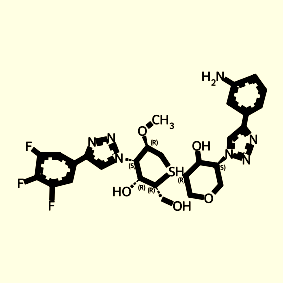 CO[C@H]1C[SH]([C@@H]2COC[C@H](n3cc(-c4cccc(N)c4)nn3)C2O)[C@H](CO)[C@H](O)[C@@H]1n1cc(-c2cc(F)c(F)c(F)c2)nn1